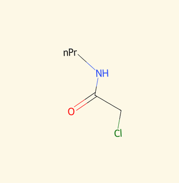 [CH2]CCNC(=O)CCl